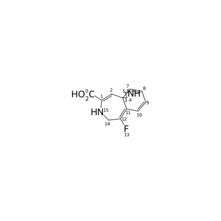 O=C(O)C1=CC23CCNC2=CC=CC3=C(F)CN1